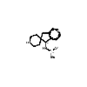 CC(C)(C)[S@@+]([O-])N[C@@H]1c2ccncc2CC12CCNCC2